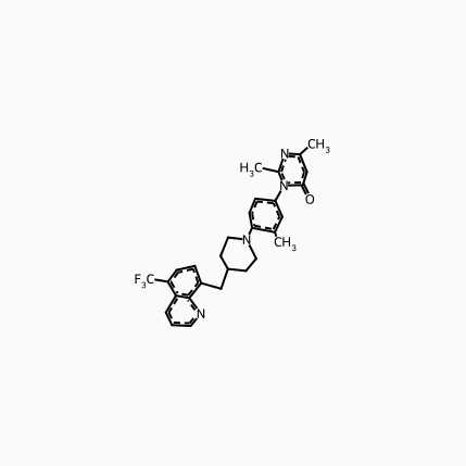 Cc1cc(=O)n(-c2ccc(N3CCC(Cc4ccc(C(F)(F)F)c5cccnc45)CC3)c(C)c2)c(C)n1